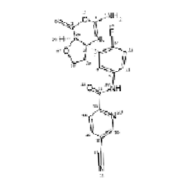 C=C1OC(N)=N[C@@]2(c3cc(NC(=O)c4ccc(C#N)cn4)ccc3F)CCO[C@@H]12